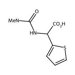 CNC(=O)NC(C(=O)O)c1cccs1